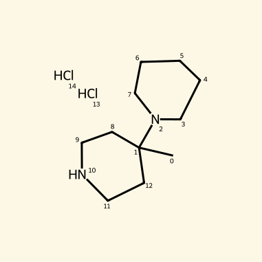 CC1(N2CCCCC2)CCNCC1.Cl.Cl